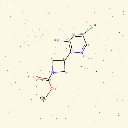 CC(C)(C)OC(=O)N1CC(c2ncc(F)cc2F)C1